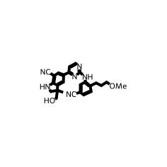 COCCCc1ccc(C#N)cc1Nc1nccc(-c2cc(C#N)c3c(c2)C(C)(CO)CN3)n1